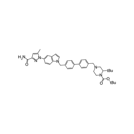 Cc1cc(C(N)=O)nn1-c1ccc2c(ccn2Cc2ccc(-c3ccc(CN4CCN(C(=O)OC(C)(C)C)C(C(C)(C)C)C4)cc3)cc2)c1